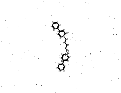 c1ccc(-c2cc[n+](CCCCO[n+]3ccc(-c4ccccc4)cc3)cc2)cc1